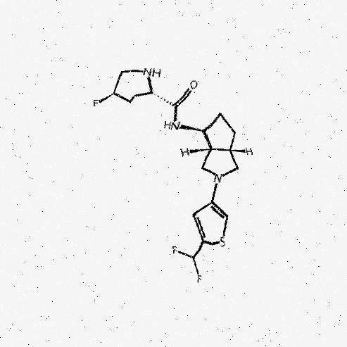 O=C(N[C@H]1CC[C@@H]2CN(c3csc(C(F)F)c3)C[C@@H]21)[C@@H]1C[C@@H](F)CN1